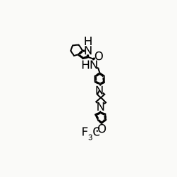 O=C(NCc1ccc(N2CC3(C2)CN(c2ccc(OC(F)(F)F)cc2)C3)cc1)c1cc2c([nH]1)CCCC2